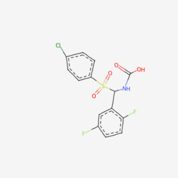 O=C(O)NC(c1cc(F)ccc1F)S(=O)(=O)c1ccc(Cl)cc1